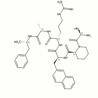 CCCC[C@@H](N)C(=O)N1CCCC[C@H]1C(=O)N[C@@H](Cc1ccc2ccccc2c1)C(=O)N[C@@H](CCCNC(=N)N)C(=O)N[C@@H](C)C(=O)N[C@H](Cc1ccccc1)C(=O)O